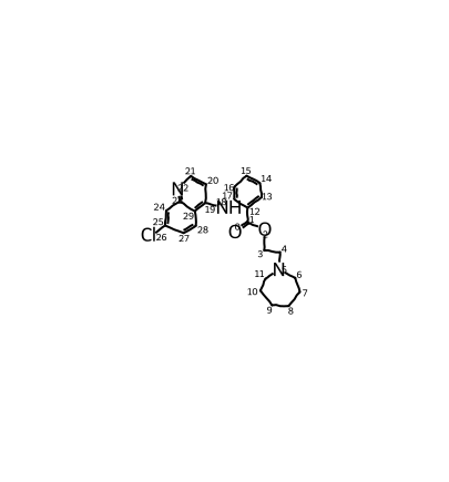 O=C(OCCN1CCCCCC1)c1ccccc1Nc1ccnc2cc(Cl)ccc12